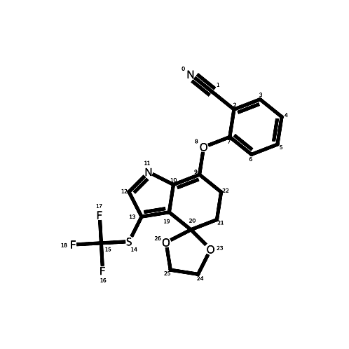 N#Cc1ccccc1OC1=C2N=CC(SC(F)(F)F)=C2C2(CC1)OCCO2